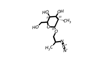 CC(CO[C@@H]1OC(CO)[C@@H](O)C(O)[C@@H]1C)N=[N+]=[N-]